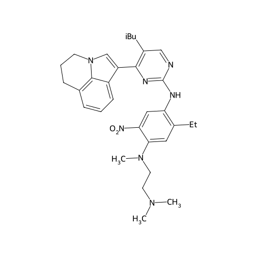 CCc1cc(N(C)CCN(C)C)c([N+](=O)[O-])cc1Nc1ncc(C(C)CC)c(-c2cn3c4c(cccc24)CCC3)n1